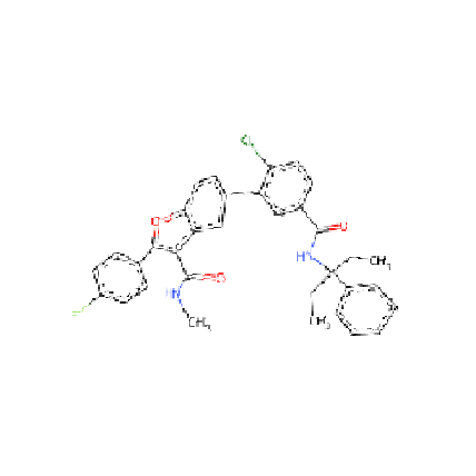 CCC(CC)(NC(=O)c1ccc(Cl)c(-c2ccc3oc(-c4ccc(F)cc4)c(C(=O)NC)c3c2)c1)c1ccccc1